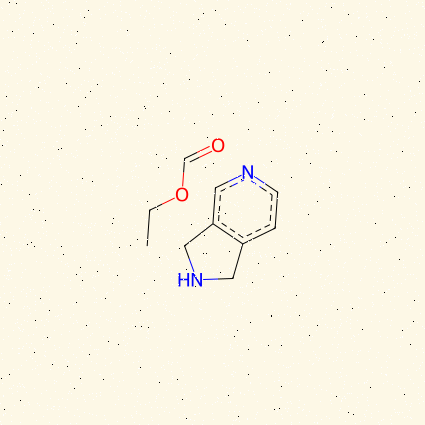 CCOC=O.c1cc2c(cn1)CNC2